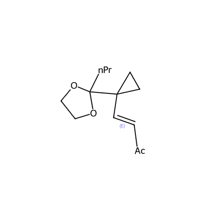 CCCC1(C2(/C=C/C(C)=O)CC2)OCCO1